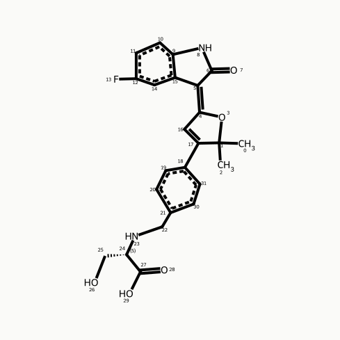 CC1(C)OC(=C2C(=O)Nc3ccc(F)cc32)C=C1c1ccc(CN[C@@H](CO)C(=O)O)cc1